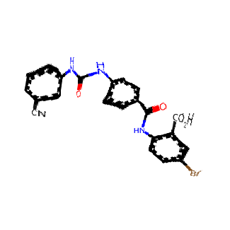 N#Cc1cccc(NC(=O)Nc2ccc(C(=O)Nc3ccc(Br)cc3C(=O)O)cc2)c1